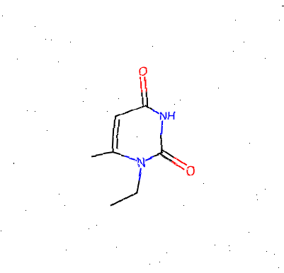 CCn1c(C)cc(=O)[nH]c1=O